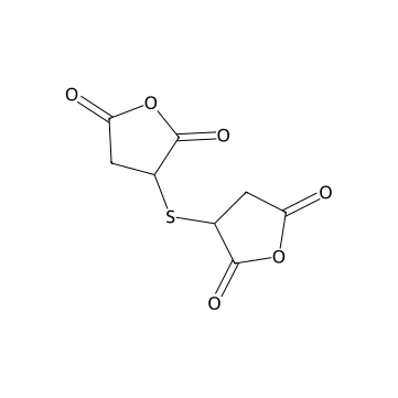 O=C1CC(SC2CC(=O)OC2=O)C(=O)O1